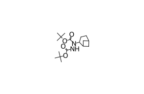 CC(C)(C)OC(=O)NN(C(=O)OC(C)(C)C)C1CCC2CC1C2